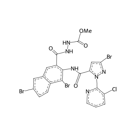 COC(=O)NNC(=O)c1cc2cc(Br)ccc2c(Br)c1NC(=O)c1cc(Br)nn1-c1ncccc1Cl